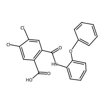 O=C(O)c1cc(Cl)c(Cl)cc1C(=O)Nc1ccccc1Oc1ccccc1